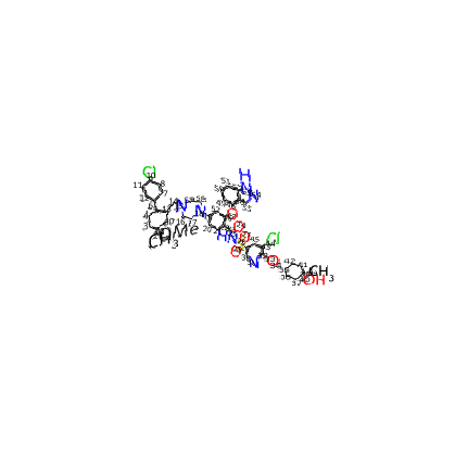 COC1(C)CCC(c2ccc(Cl)cc2)=C(CN2CCN(c3ccc(C(=O)NS(=O)(=O)c4cnc(OC[C@H]5CC[C@@](C)(O)CC5)c(Cl)c4)c(Oc4cccc5[nH]ncc45)c3)CC2)C1